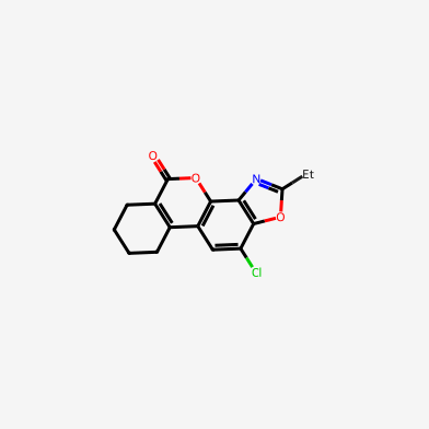 CCc1nc2c(o1)c(Cl)cc1c3c(c(=O)oc12)CCCC3